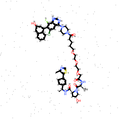 Cc1ncsc1-c1ccc([C@H](C)NC(=O)[C@@H]2C[C@@H](O)CN2C(=O)[C@@H](NC(=O)COCCOCCOCCCCC(=O)N2CCN(c3ncnc4c(F)c(-c5cc(O)cc6ccccc56)c(Cl)cc34)CC2)C(C)(C)C)cc1